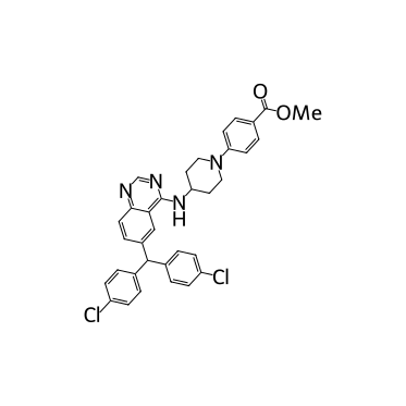 COC(=O)c1ccc(N2CCC(Nc3ncnc4ccc(C(c5ccc(Cl)cc5)c5ccc(Cl)cc5)cc34)CC2)cc1